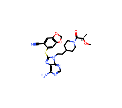 CO[C@H](C)C(=O)N1CCC(CCn2c(Sc3cc4c(cc3C#N)OCO4)nc3c(N)ncnc32)CC1